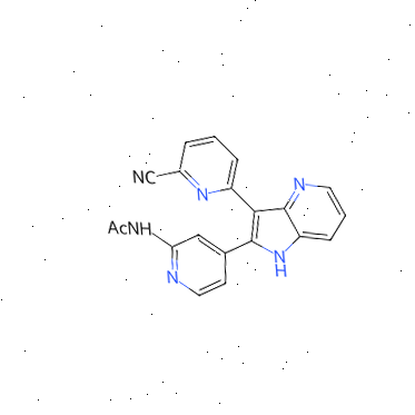 CC(=O)Nc1cc(-c2[nH]c3cccnc3c2-c2cccc(C#N)n2)ccn1